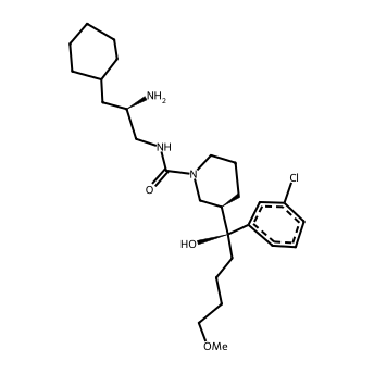 COCCCC[C@@](O)(c1cccc(Cl)c1)[C@@H]1CCCN(C(=O)NC[C@H](N)CC2CCCCC2)C1